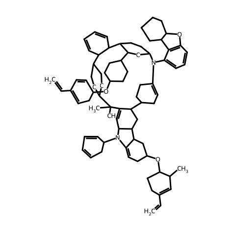 C=CC1=CCC(OC2CCC(C3CC4CCC3C3C=CC=CC3C3CCC(CC3)C(C)(C)C3=CC5C(CC3C3CC=C(CC3)N4c3cccc4c3C3CCCCC3O4)C3CC(OC4CCC(C=C)=CC4C)CC=C3N5C3C=CC=CC3)CC2)C=C1